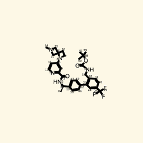 C[C@@H](NC(=O)c1cc(N2CCC23CN(C)C3)ccn1)c1ccc(-c2cc(C(F)(F)F)ccc2CNC(=O)OC(C)(C)C)cc1